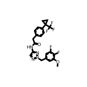 COc1cc(Cn2ncc(NC(=O)Cc3ccc(C4(C(F)(F)F)CC4)cc3)n2)cc(F)c1F